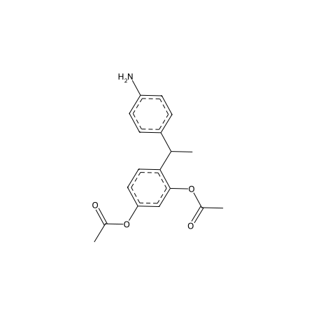 CC(=O)Oc1ccc(C(C)c2ccc(N)cc2)c(OC(C)=O)c1